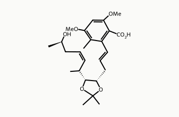 COc1cc(OC)c(C(=O)O)c(/C=C/C[C@@H]2OC(C)(C)O[C@@H]2C(C)/C=C\C[C@@H](C)O)c1C